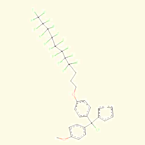 COc1ccc(C(Cl)(c2ccccc2)c2ccc(OCCCC(F)(F)C(F)(F)C(F)(F)C(F)(F)C(F)(F)C(F)(F)C(F)(F)C(F)(F)F)cc2)cc1